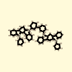 c1ccc(-n2c3ccccc3c3cc4c(cc32)c2ccccc2n4-c2cccc(-c3cccc(-n4c5ccccc5c5c4ccc4c6ccccc6n(-c6ccccc6)c45)c3)c2)cc1